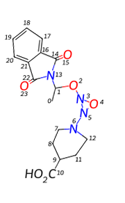 CC(On1on1N1CCC(C(=O)O)CC1)N1C(=O)c2ccccc2C1=O